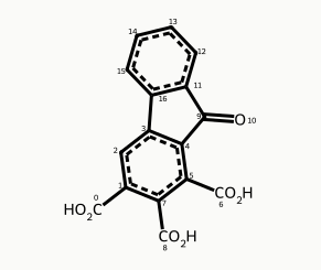 O=C(O)c1cc2c(c(C(=O)O)c1C(=O)O)C(=O)c1ccccc1-2